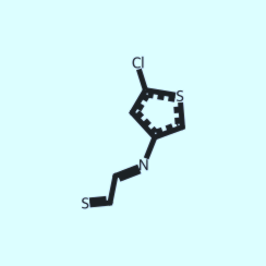 S=CC=Nc1csc(Cl)c1